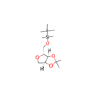 CC1(C)O[C@H]2[C@H](CO[C@@H]2CO[Si](C)(C)C(C)(C)C)O1